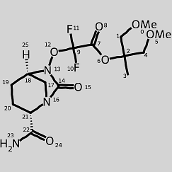 COCC(C)(COC)OC(=O)C(F)(F)ON1C(=O)N2C[C@H]1CC[C@H]2C(N)=O